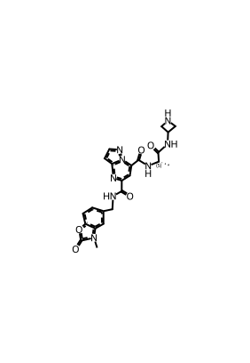 C[C@H](NC(=O)c1cc(C(=O)NCc2ccc3oc(=O)n(C)c3c2)nc2ccnn12)C(=O)NC1CNC1